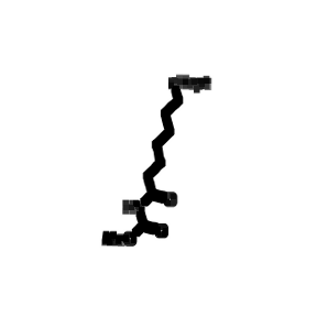 CCCCCCCCCCCCCC(=O)NC(=O)OC